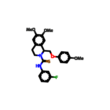 COc1ccc(OCC2c3cc(OC)c(OC)cc3CCN2C(=S)Nc2cccc(F)c2)cc1